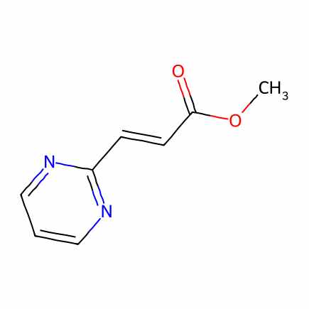 COC(=O)C=Cc1ncccn1